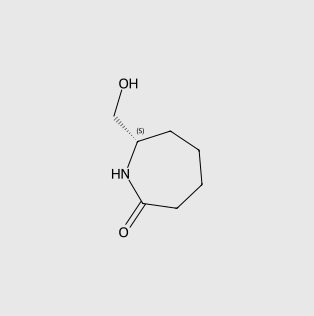 O=C1CCCC[C@@H](CO)N1